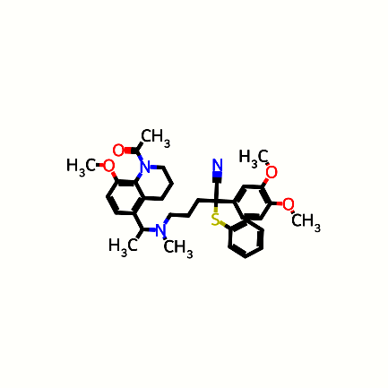 COc1ccc(C(C#N)(CCCN(C)C(C)c2ccc(OC)c3c2CCCN3C(C)=O)Sc2ccccc2)cc1OC